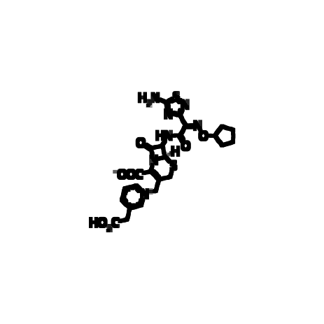 Nc1nc(/C(=N/OC2CCCC2)C(=O)NC2C(=O)N3C(C(=O)[O-])=C(C[n+]4cccc(CC(=O)O)c4)CS[C@H]23)ns1